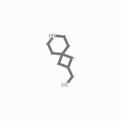 SCC1CC2(CCNCC2)C1